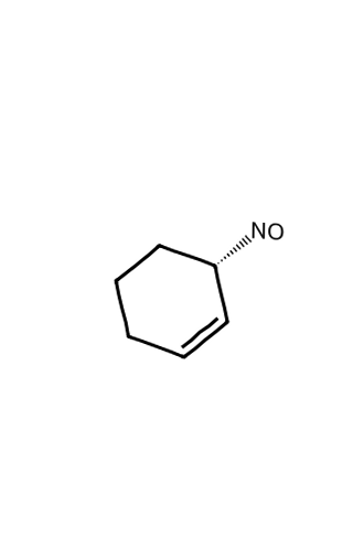 O=N[C@@H]1C=CCCC1